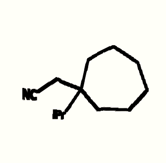 CC(C)C1(CC#N)CCCCCC1